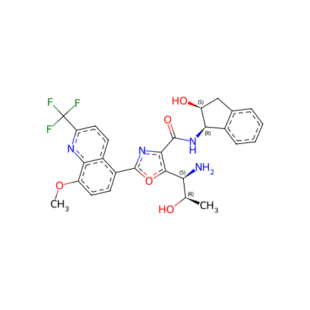 COc1ccc(-c2nc(C(=O)N[C@@H]3c4ccccc4C[C@@H]3O)c([C@@H](N)[C@@H](C)O)o2)c2ccc(C(F)(F)F)nc12